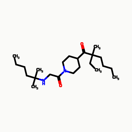 CCCCC(C)(C)NCC(=O)N1CCC(C(=O)C(C)(CC)CCCC)CC1